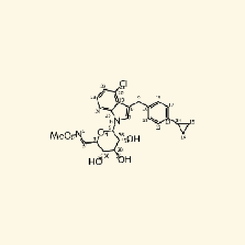 CON=C[C@H]1O[C@@H](n2cc(Cc3ccc(C4CC4)cc3)c3c(Cl)cccc32)[C@H](O)[C@@H](O)[C@@H]1O